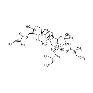 C/C=C(\C)C(=O)OC[C@@]12C(CC(C)(C)[C@@H](OC(=O)/C(C)=C/C)[C@@H]1O)C1=CCC3[C@@]4(C)CC[C@H](O)[C@](C)(COC(=O)/C(C)=C/C)C4CC[C@@]3(S)[C@]1(C)C[C@H]2O